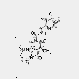 C[C@@H]1C=C[C@H](C)N2CN1n1cc(C(=O)NCc3ncc(F)c(Cl)c3F)c(=O)c(O)c1C2=O